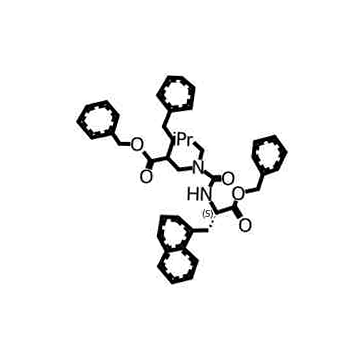 CC(C)CN(CC(CCc1ccccc1)C(=O)OCc1ccccc1)C(=O)N[C@@H](Cc1cccc2ccccc12)C(=O)OCc1ccccc1